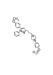 COc1ccc(-c2cc(CCCN3CCN(c4ccc(OC)cc4)CC3)nn2-c2ccccc2)cc1